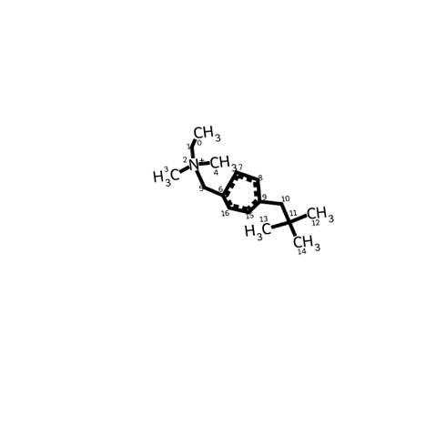 CC[N+](C)(C)Cc1ccc(CC(C)(C)C)cc1